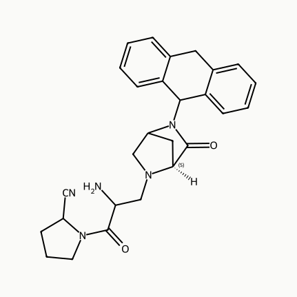 N#CC1CCCN1C(=O)C(N)CN1CC2C[C@H]1C(=O)N2C1c2ccccc2Cc2ccccc21